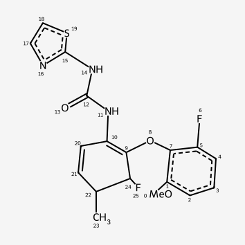 COc1cccc(F)c1OC1=C(NC(=O)Nc2nccs2)C=CC(C)C1F